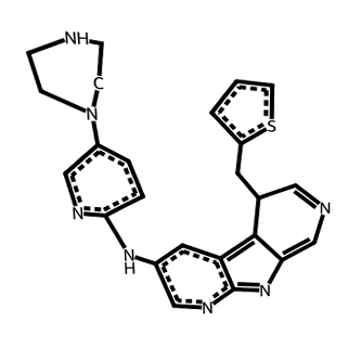 C1=NC=C2N=c3ncc(Nc4ccc(N5CCNCC5)cn4)cc3=C2C1Cc1cccs1